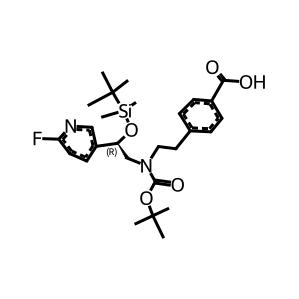 CC(C)(C)OC(=O)N(CCc1ccc(C(=O)O)cc1)C[C@H](O[Si](C)(C)C(C)(C)C)c1ccc(F)nc1